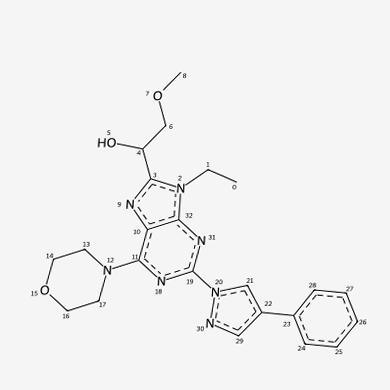 CCn1c(C(O)COC)nc2c(N3CCOCC3)nc(-n3cc(-c4ccccc4)cn3)nc21